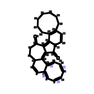 O=C1CCC2C=CC3=C/C=C\C=C/C=C\3C2=C2C(=O)N3C=CC4=C(CCCCCCC4)C3=C12